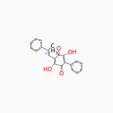 C/C(=C\C1=C(O)C(=O)C(c2ccccc2)=C(O)C1=O)c1ccccc1